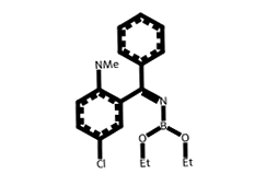 CCOB(N=C(c1ccccc1)c1cc(Cl)ccc1NC)OCC